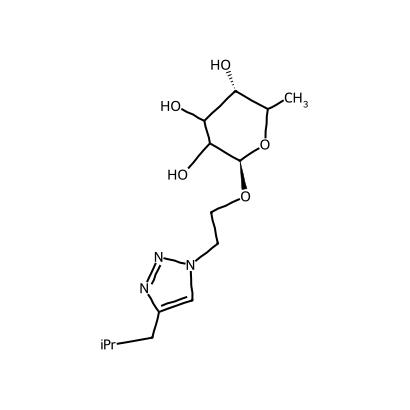 CC(C)Cc1cn(CCO[C@@H]2OC(C)[C@@H](O)C(O)C2O)nn1